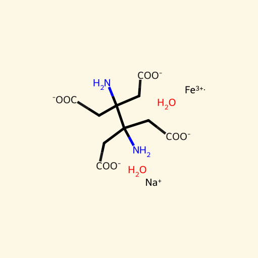 NC(CC(=O)[O-])(CC(=O)[O-])C(N)(CC(=O)[O-])CC(=O)[O-].O.O.[Fe+3].[Na+]